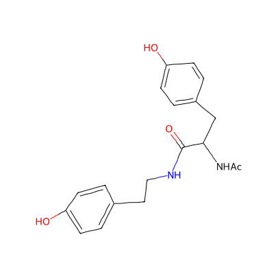 CC(=O)NC(Cc1ccc(O)cc1)C(=O)NCCc1ccc(O)cc1